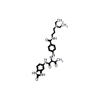 CCN(CC)CCCNC(=O)c1ccc(/N=N/C(C(C)=O)C(=O)Nc2ccc3[nH]c(=O)[nH]c3c2)cc1